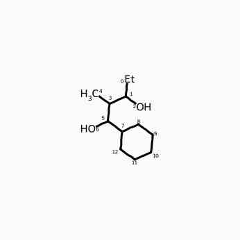 CCC(O)C(C)C(O)C1CCCCC1